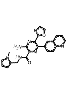 Cn1cccc1CNC(=O)c1nc(-c2ccc3ncccc3c2)c(-c2ncco2)nc1N